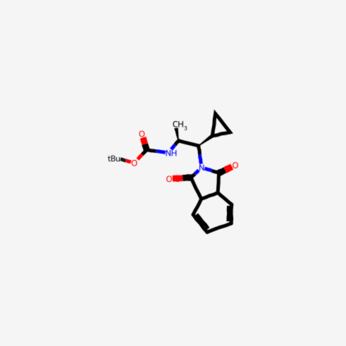 C[C@H](NC(=O)OC(C)(C)C)[C@@H](C1CC1)N1C(=O)C2C=CC=CC2C1=O